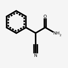 N#C[C](C(N)=O)c1ccccc1